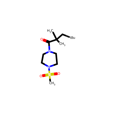 CC(C)(C)CC(C)(C)C(=O)N1CCN(S(C)(=O)=O)CC1